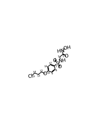 O=C(CNS(=O)(=O)c1ccc(OCCCCl)cc1)NO